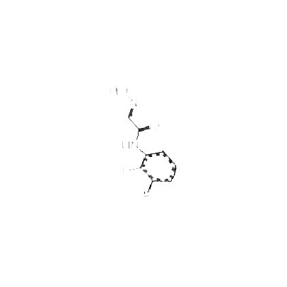 O=C(/C=N/O)Nc1cccc(F)c1F